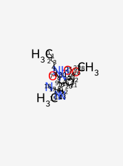 CCCCCNC(=O)c1cc(-c2cnn(C)c2C#N)c2cccc(C(=O)OCC)c2n1